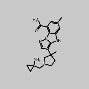 Cc1cc(C(N)=O)c2c(c1)[nH]c1c(C3(C)CCN(CC4(N)CC4)C3)cnn12